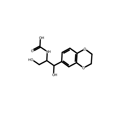 O=C(O)NC(CO)C(O)c1ccc2c(c1)OCCO2